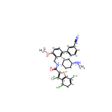 CN[C@H]1CC[C@H](N(Cc2cc(-c3cccc(C#N)c3)ccc2OC)C(=O)c2sc3c(c2Cl)C(F)CC=C3F)CC1